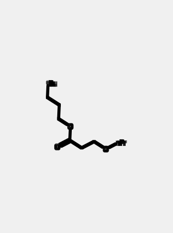 CCCOCCC(=O)OCCCC(C)(C)C